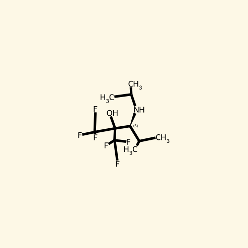 CC(C)N[C@@H](C(C)C)C(O)(C(F)(F)F)C(F)(F)F